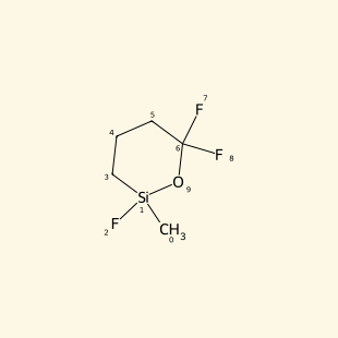 C[Si]1(F)CCCC(F)(F)O1